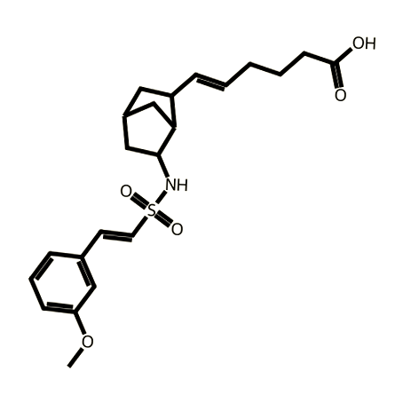 COc1cccc(C=CS(=O)(=O)NC2CC3CC(C=CCCCC(=O)O)C2C3)c1